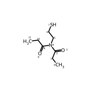 CCC(=O)N(CCS)C(=O)CC